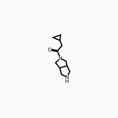 O=C(CC1CC1)N1CC2CNCC2C1